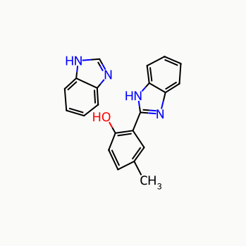 Cc1ccc(O)c(-c2nc3ccccc3[nH]2)c1.c1ccc2[nH]cnc2c1